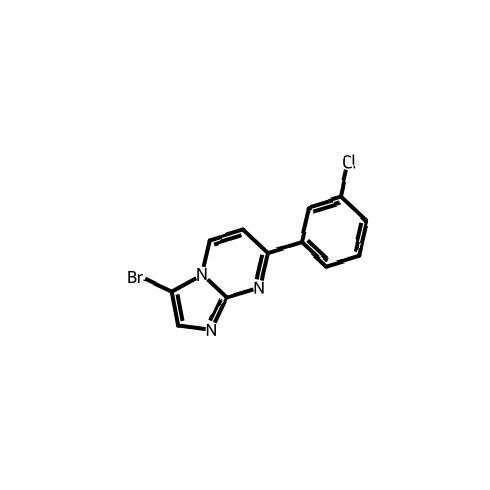 Clc1cccc(-c2ccn3c(Br)cnc3n2)c1